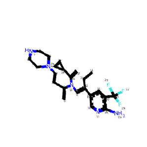 C=C(CCN1CCNCC1)N(/C=C(\CC)c1cnc(N)c(C(F)(F)F)c1)C(=C)C1CC1